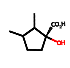 CC1CC[C@](O)(C(=O)O)C1C